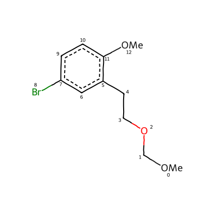 COCOCCc1cc(Br)ccc1OC